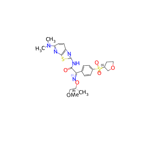 COC[C@@H](C)O/N=C(/C(=O)Nc1nc2ccc(N(C)C)nc2s1)c1ccc(S(=O)(=O)[C@H]2CCOC2)cc1